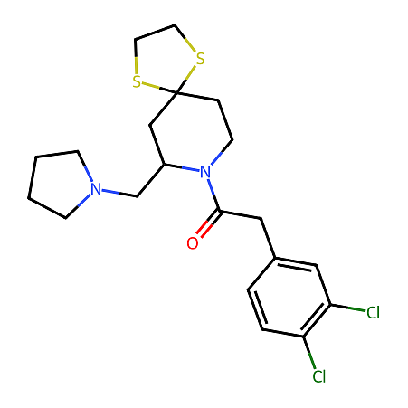 O=C(Cc1ccc(Cl)c(Cl)c1)N1CCC2(CC1CN1CCCC1)SCCS2